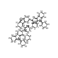 c1ccc(-c2cc(-c3ccccc3)nc(-c3c(-c4ccc5c(c4)c4ccccc4n5-c4ccccc4)ccc4oc5ccc(-c6ccc7c(c6)c6ccccc6n7-c6ccccc6)cc5c34)n2)cc1